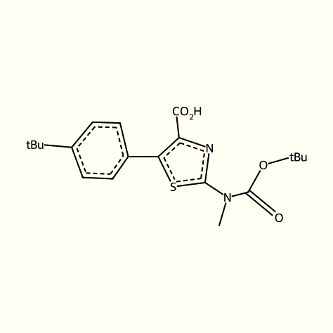 CN(C(=O)OC(C)(C)C)c1nc(C(=O)O)c(-c2ccc(C(C)(C)C)cc2)s1